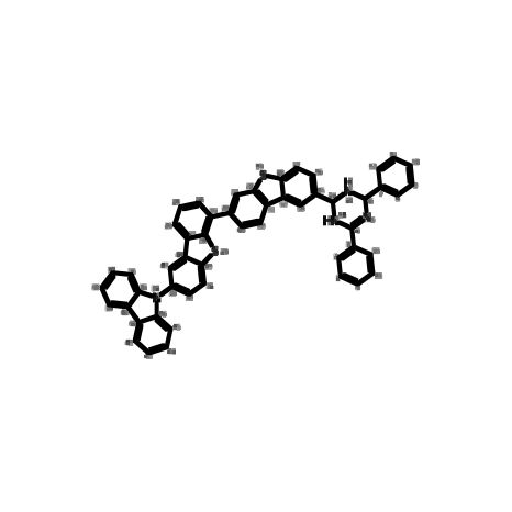 c1ccc(C2=NC(c3ccccc3)NC(c3ccc4sc5cc(-c6cccc7c6sc6ccc(-n8c9ccccc9c9ccccc98)cc67)ccc5c4c3)N2)cc1